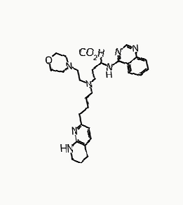 O=C(O)C(CCN(CCCCc1ccc2c(n1)NCCC2)CCN1CCOCC1)Nc1ncnc2ccccc12